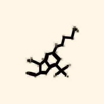 Cn1c([C]=O)cc2c(C(F)(F)F)cc(OCCCN)cc21